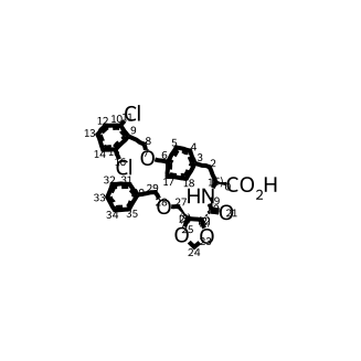 O=C(O)[C@H](Cc1ccc(OCc2c(Cl)cccc2Cl)cc1)NC(=O)[C@@H]1OCO[C@H]1COCc1ccccc1